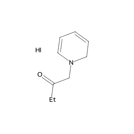 CCC(=O)CN1C=CC=CC1.I